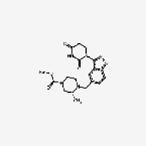 C[C@@H]1CN(C(=O)OC(C)(C)C)CCN1Cc1ccc2onc(N3CCC(=O)NC3=O)c2c1